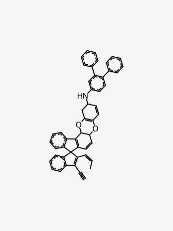 C#CC1=C(/C=C\C)C2(C3=C(c4ccccc42)C2OC4=C(C=CC(Nc5ccc(-c6ccccc6)c(-c6ccccc6)c5)C4)OC2C=C3)c2ccccc21